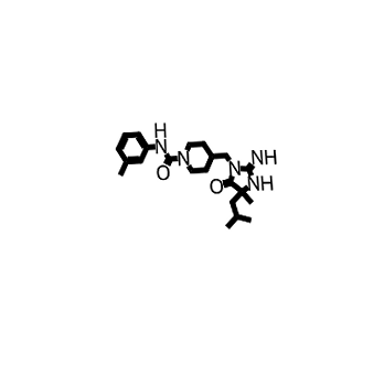 Cc1cccc(NC(=O)N2CCC(CN3C(=N)NC(C)(CC(C)C)C3=O)CC2)c1